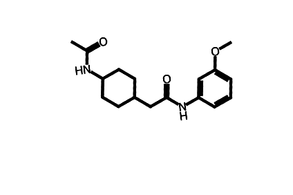 COc1cccc(NC(=O)CC2CCC(NC(C)=O)CC2)c1